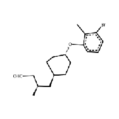 Cc1c(Br)cccc1O[C@H]1CC[C@H](C[C@@H](C)CC=O)CC1